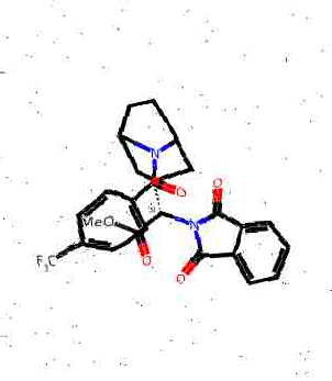 COC(=O)[C@H](C1CC2CCC(C1)N2C(=O)c1ccc(C(F)(F)F)cc1)N1C(=O)c2ccccc2C1=O